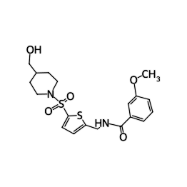 COc1cccc(C(=O)NCc2ccc(S(=O)(=O)N3CCC(CO)CC3)s2)c1